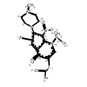 CN1CCN(c2c(F)cc3c(=O)c(OC(=O)O)cn(N(C)C)c3c2[N+](=O)[O-])CC1